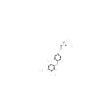 CCc1cc(OCC(=O)N(C)C)cc(Cl)c1Cc1ccc(O)c(C(C)C)c1F